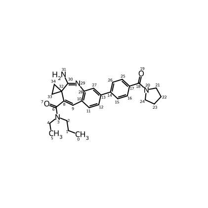 CCCN(CC)C(=O)C1=Cc2ccc(-c3ccc(C(=O)N4CCCC4)cc3)cc2N=C(N)C12CC2